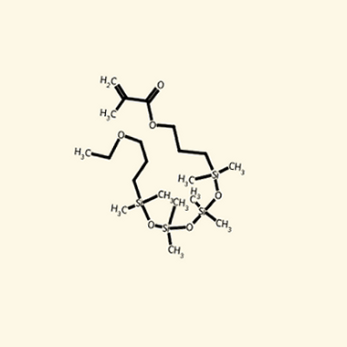 C=C(C)C(=O)OCCC[Si](C)(C)O[Si](C)(C)O[Si](C)(C)O[Si](C)(C)CCCOCC